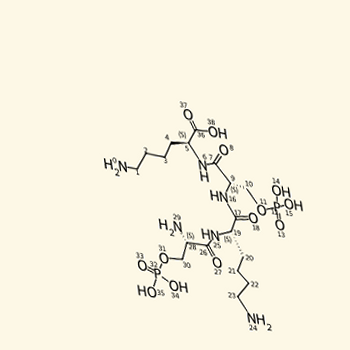 NCCCC[C@H](NC(=O)[C@H](COP(=O)(O)O)NC(=O)[C@H](CCCCN)NC(=O)[C@@H](N)COP(=O)(O)O)C(=O)O